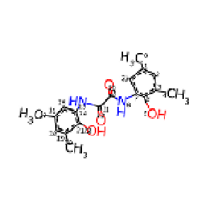 Cc1cc(C)c(O)c(NC(=O)C(=O)Nc2cc(C)cc(C)c2O)c1